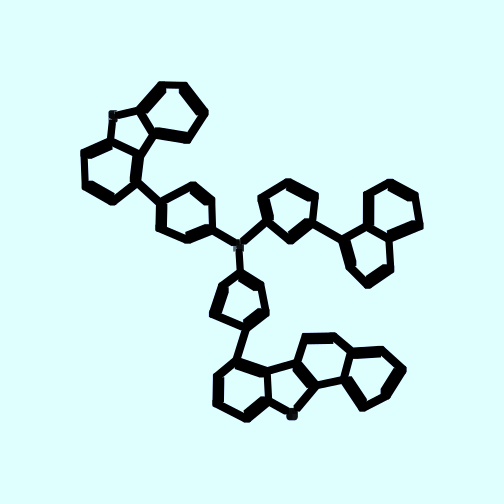 c1cc(-c2cccc3ccccc23)cc(N(c2ccc(-c3cccc4oc5c6ccccc6ccc5c34)cc2)c2ccc(-c3cccc4sc5ccccc5c34)cc2)c1